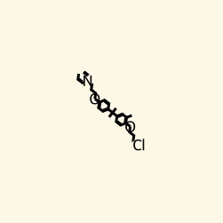 C=CN(/C=C\C)CCCOc1ccc(C(C)(C)c2ccc(OCCCCl)c(C)c2)cc1